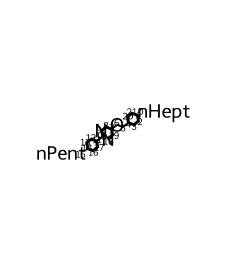 CCCCCCCc1ccc(COc2cnc(-c3ccc(CCCCC)cc3)nc2)cc1